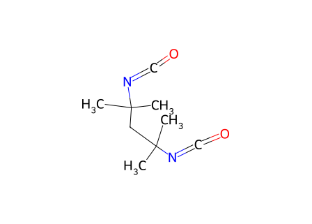 CC(C)(CC(C)(C)N=C=O)N=C=O